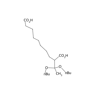 CCCCOC(C)(OCCCC)C(CCCCCCCC(=O)O)C(=O)O